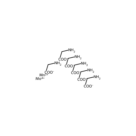 NCC(=O)[O-].NCC(=O)[O-].NCC(=O)[O-].NCC(=O)[O-].NCC(=O)[O-].NCC(=O)[O-].[Mn+2].[Mo+4]